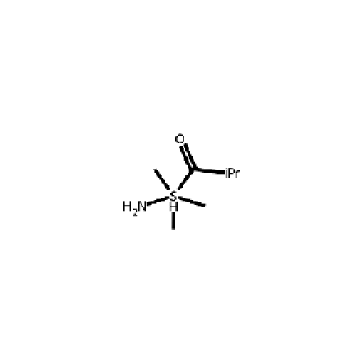 CC(C)C(=O)[SH](C)(C)(C)N